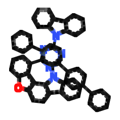 c1ccc(-c2ccc(-c3nc(-c4cccc5oc6ccc7c8ccccc8n(-c8cccc(-c9ccccc9)c8)c7c6c45)nc(-n4c5ccccc5c5ccccc54)n3)cc2)cc1